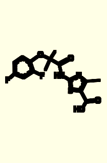 Cc1nc(NC(=O)C(C)(C)Oc2ccc(F)cc2F)sc1C(=O)O